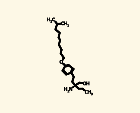 CCC[C@@](N)(CO)CCc1ccc(OCCCCCCCCC(C)C)cc1